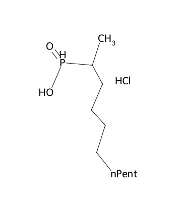 CCCCCCCCCC(C)[PH](=O)O.Cl